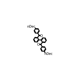 CCCCCCCCCCc1ccc(C(=O)c2ccccc2-c2ccccc2C(=O)c2ccc(CCCCCCCCCC)cc2)cc1